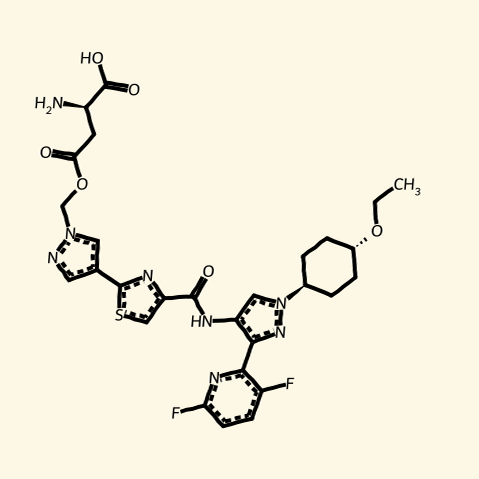 CCO[C@H]1CC[C@H](n2cc(NC(=O)c3csc(-c4cnn(COC(=O)C[C@@H](N)C(=O)O)c4)n3)c(-c3nc(F)ccc3F)n2)CC1